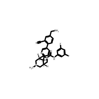 CN1C[C@@H]2CN(C(=O)Nc3cc(F)cc(F)c3)C[C@H](C1)[C@@]2(O)c1ccc(-c2ccc(CN)cc2C#N)cn1